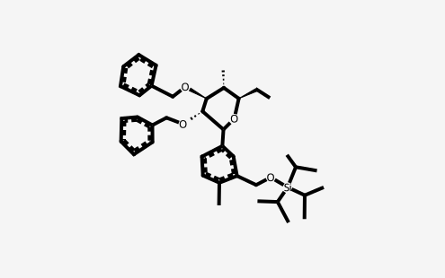 CC[C@H]1OC(c2ccc(C)c(CO[Si](C(C)C)(C(C)C)C(C)C)c2)[C@H](OCc2ccccc2)[C@@H](OCc2ccccc2)[C@@H]1C